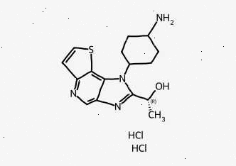 C[C@@H](O)c1nc2cnc3ccsc3c2n1C1CCC(N)CC1.Cl.Cl